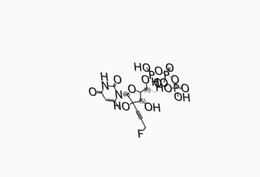 Cc1cc(=O)[nH]c(=O)n1[C@@H]1OC([C@@H](C)OP(=O)(O)OP(=O)(O)OP(=O)(O)O)[C@H](O)C1(O)C#CCF